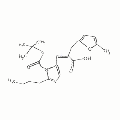 CCCCc1ncc(/C=C(/Cc2ccc(C)o2)C(=O)O)n1C(=O)OC(C)(C)C